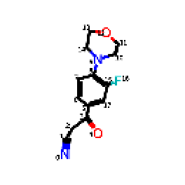 N#CCC(=O)c1ccc(N2CCOCC2)c(F)c1